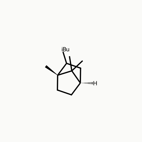 CCC(C)C1C[C@H]2CC[C@@]1(C)C2(C)C